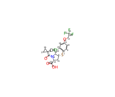 CC1(C(=O)N2C[C@H](Sc3ccc(OCC(F)(F)F)cc3Cl)C[C@H]2C(=O)O)CC1